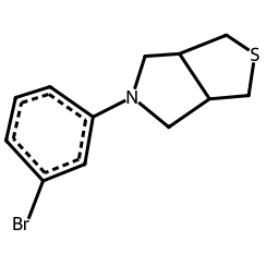 Brc1cccc(N2CC3CSCC3C2)c1